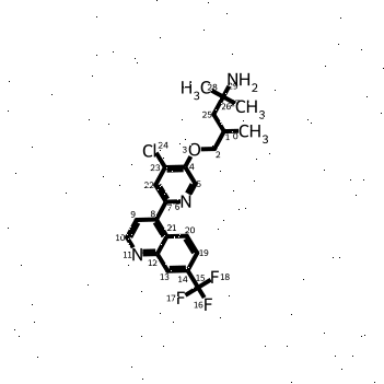 CC(COc1cnc(-c2ccnc3cc(C(F)(F)F)ccc23)cc1Cl)CC(C)(C)N